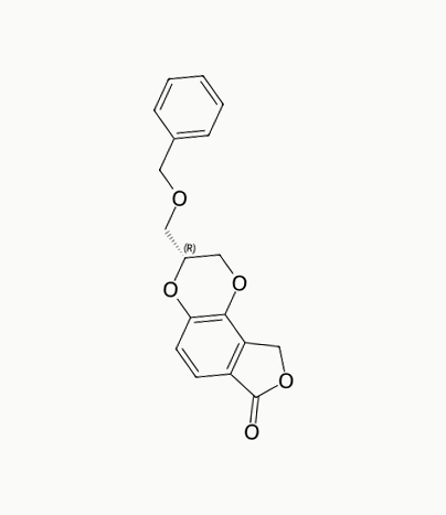 O=C1OCc2c1ccc1c2OC[C@@H](COCc2ccccc2)O1